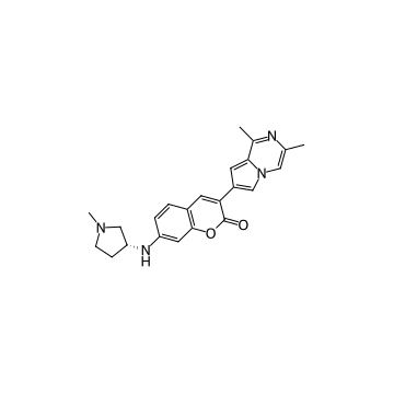 Cc1cn2cc(-c3cc4ccc(N[C@@H]5CCN(C)C5)cc4oc3=O)cc2c(C)n1